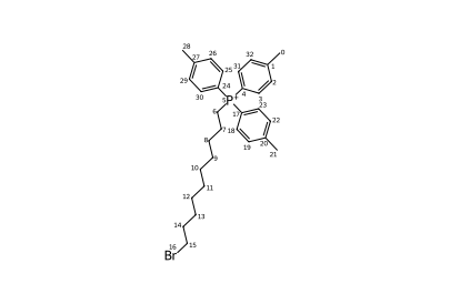 Cc1ccc([P+](CCCCCCCCCCBr)(c2ccc(C)cc2)c2ccc(C)cc2)cc1